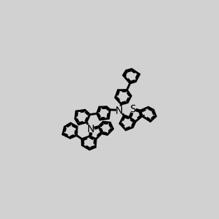 c1ccc(-c2ccc(N(c3ccc(-c4ccccc4-n4c5ccccc5c5cccc(-c6ccccc6)c54)cc3)c3cccc4c3sc3ccccc34)cc2)cc1